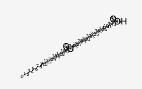 CCCCCCCCC=CCCCCCCCCCCCC(=O)OCCCCCCCCCCCCCCCCCCCCC(=O)O